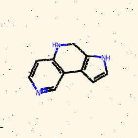 c1cc2c(cn1)-c1cc[nH]c1CN2